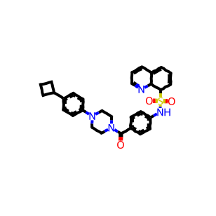 O=C(c1ccc(NS(=O)(=O)C2C=CC=C3C=CC=NC32)cc1)N1CCN(c2ccc(C3CCC3)cc2)CC1